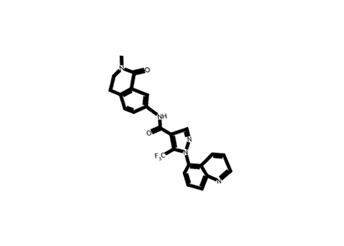 CN1CCc2ccc(NC(=O)c3cnn(-c4cccc5ncccc45)c3C(F)(F)F)cc2C1=O